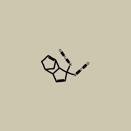 O=C=NC1(N=C=O)C=CC2C3CC=C(C3)C21